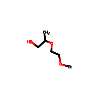 [CH2]C(CO)OCCOCC